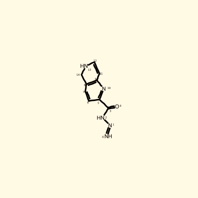 N=NNC(=O)c1ccc2c(n1)C=CNC2